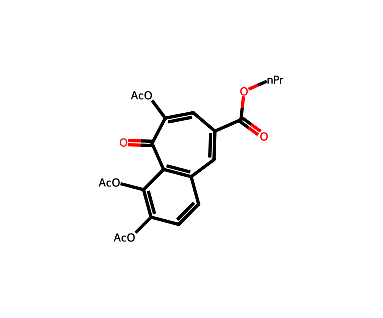 CCCOC(=O)c1cc(OC(C)=O)c(=O)c2c(OC(C)=O)c(OC(C)=O)ccc2c1